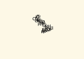 O=C(NC1CCC(Nc2cc(C(F)(F)F)nc3ccc(Cl)cc23)CC1)C1CCN(C(=O)c2ccccc2Cl)CC1